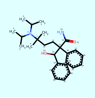 CC(C)N(C(C)C)C(C)(C)CCC(C(N)=O)(c1ccccc1)C(O)c1ccccc1